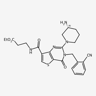 CCOC(=O)CCNC(=O)c1csc2c(=O)n(Cc3ccccc3C#N)c(N3CCC[C@@H](N)C3)nc12